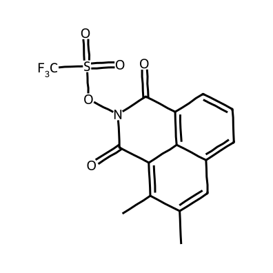 Cc1cc2cccc3c2c(c1C)C(=O)N(OS(=O)(=O)C(F)(F)F)C3=O